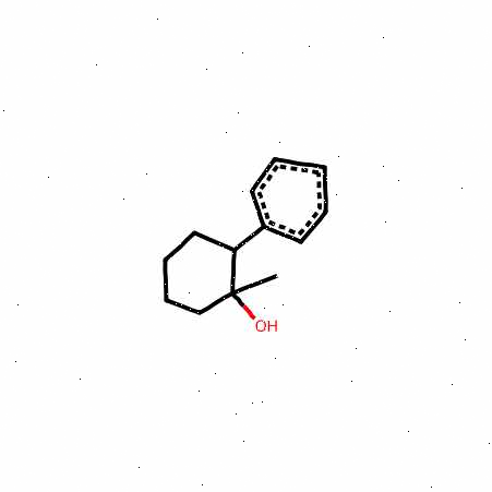 CC1(O)CCCCC1c1ccccc1